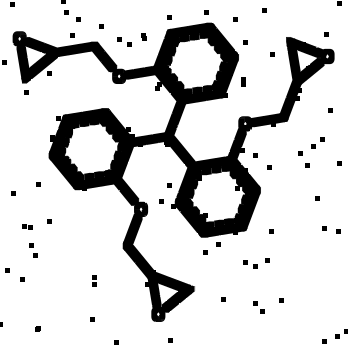 c1ccc(C(c2ccccc2OCC2CO2)c2ccccc2OCC2CO2)c(OCC2CO2)c1